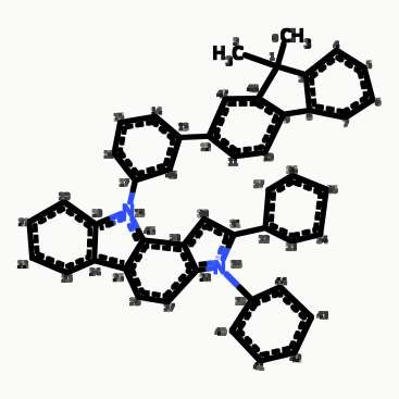 CC1(C)c2ccccc2-c2ccc(-c3cccc(-n4c5ccccc5c5ccc6c(cc(-c7ccccc7)n6-c6ccccc6)c54)c3)cc21